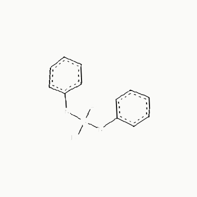 CC[Si](CC)(Nc1ccccc1)Nc1ccccc1